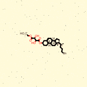 CC(C)CCC[C@H](C)[C@@H]1CC[C@@H]2[C@H]3CC=C4CC(OC(=O)C(O)C(O)C(=O)OCC(=O)O)CC[C@@]4(C)[C@@H]3CC[C@]21C